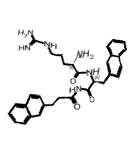 N=C(N)NCCC[C@H](N)C(=O)N[C@@H](Cc1ccc2ccccc2c1)C(=O)NC(=O)CCc1ccc2ccccc2c1